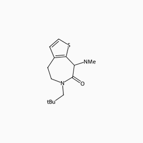 CNC1C(=O)N(CC(C)(C)C)CCc2ccsc21